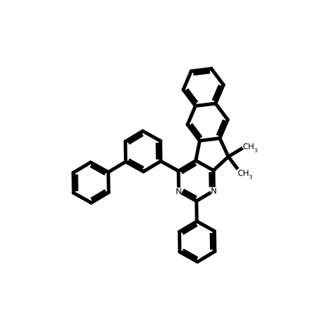 CC1(C)c2cc3ccccc3cc2-c2c(-c3cccc(-c4ccccc4)c3)nc(-c3ccccc3)nc21